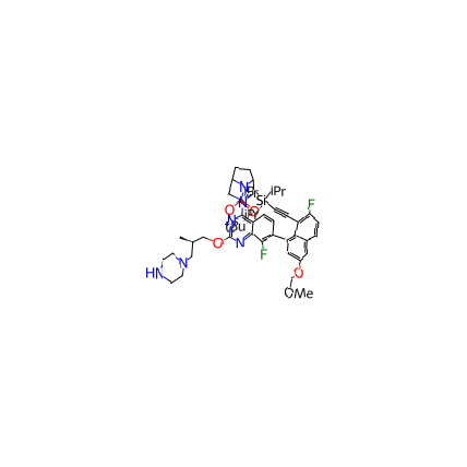 COCOc1cc(-c2ccc3c(N4CC5CCC(C4)N5C(=O)OC(C)(C)C)nc(OC[C@H](C)CN4CCNCC4)nc3c2F)c2c(C#C[Si](C(C)C)(C(C)C)C(C)C)c(F)ccc2c1